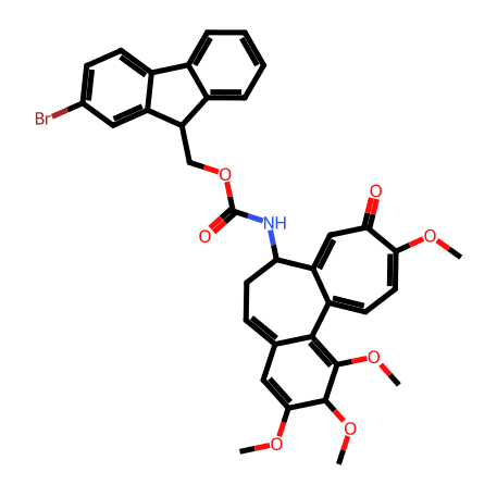 COC1=CC2=CCC(NC(=O)OCC3c4ccccc4-c4ccc(Br)cc43)c3cc(=O)c(OC)ccc3C2=C(OC)C1OC